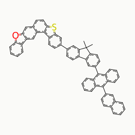 CC1(C)c2ccc(-c3c4ccccc4c(-c4ccc5ccccc5c4)c4ccccc34)cc2-c2ccc(-c3ccc4c(c3)sc3ccc5cc6oc7ccccc7c6cc5c34)cc21